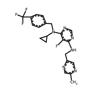 Cc1cnc(CNc2ncnc(N(Cc3ccc(C(F)(F)F)cc3)C3CC3)c2F)cn1